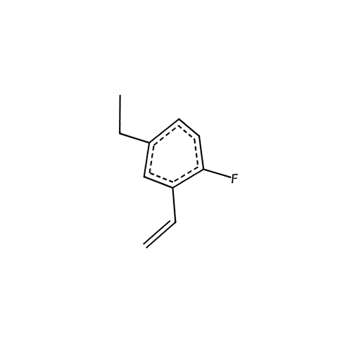 C=Cc1cc(CC)ccc1F